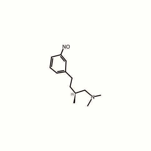 C[C@@H](CCc1cccc(N=O)c1)CN(C)C